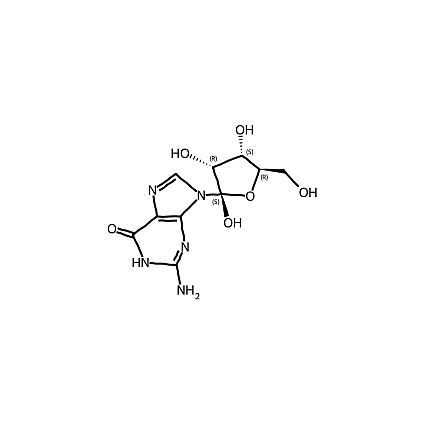 Nc1nc2c(ncn2[C@@]2(O)O[C@H](CO)[C@@H](O)[C@H]2O)c(=O)[nH]1